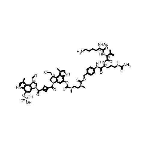 C=C(C)[C@H](NC(=O)[C@H](CCCCN)NC(C)=O)C(=O)N[C@@H](CCCNC(N)=O)C(=O)Nc1ccc(COC(=S)N(C)CCN(C)C(=O)Oc2cc3c(c4c(C)c[nH]c24)[C@H](CCl)CN3C(=O)C23CC(C(=O)N4C[C@@H](CCl)c5c4cc(OP(=O)(O)O)c4[nH]cc(C)c54)(C2)C3)cc1